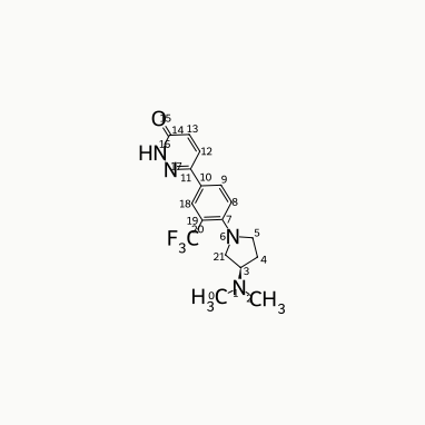 CN(C)[C@@H]1CCN(c2ccc(-c3ccc(=O)[nH]n3)cc2C(F)(F)F)C1